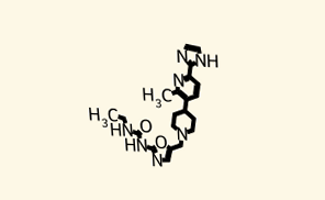 CCNC(=O)Nc1ncc(CN2CCC(c3ccc(-c4ncc[nH]4)nc3C)CC2)o1